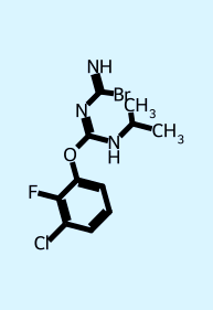 CC(C)N/C(=N\C(=N)Br)Oc1cccc(Cl)c1F